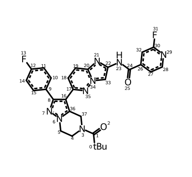 CC(C)(C)C(=O)N1CCn2nc(-c3ccc(F)cc3)c(-c3ccc4nc(NC(=O)c5ccnc(F)c5)cn4n3)c2C1